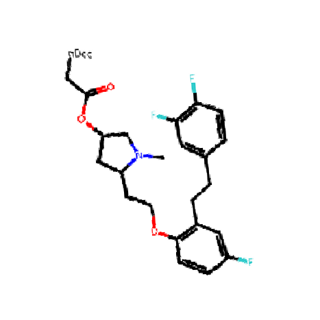 CCCCCCCCCCCC(=O)OC1CC(CCOc2ccc(F)cc2CCc2ccc(F)c(F)c2)N(C)C1